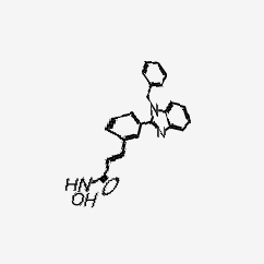 O=C(C=Cc1cccc(-c2nc3ccccc3n2Cc2ccccc2)c1)NO